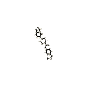 O=C(Cc1ccc(CO)cc1)N1CCN(c2ccc3nncn3n2)CC1